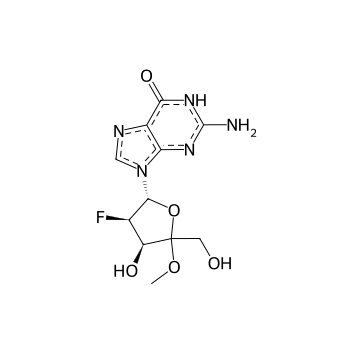 COC1(CO)O[C@@H](n2cnc3c(=O)[nH]c(N)nc32)[C@H](F)[C@@H]1O